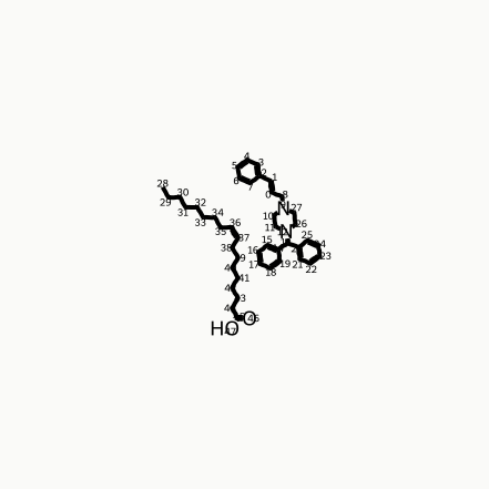 C(=C\c1ccccc1)/CN1CCN(C(c2ccccc2)c2ccccc2)CC1.CCCCCCCC/C=C\CCCCCCCC(=O)O